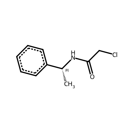 C[C@@H](NC(=O)CCl)c1ccccc1